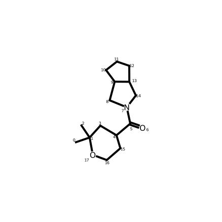 CC1(C)CC(C(=O)N2CC3CCCC3C2)CCO1